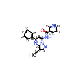 C#Cc1cnn2c(NC(=O)c3cccnc3)cc(-c3ccccc3)nc12